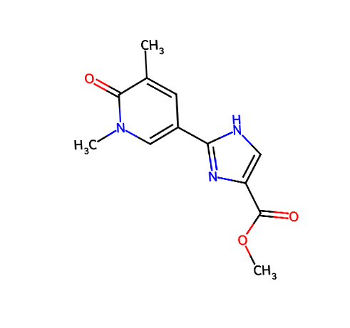 COC(=O)c1c[nH]c(-c2cc(C)c(=O)n(C)c2)n1